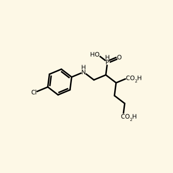 O=C(O)CCC(C(=O)O)C(CNc1ccc(Cl)cc1)[PH](=O)O